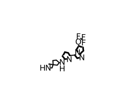 FC(F)(F)Oc1ccc2ncc(-c3cccc(NC4CCC5(CNC5)C4)n3)n2c1